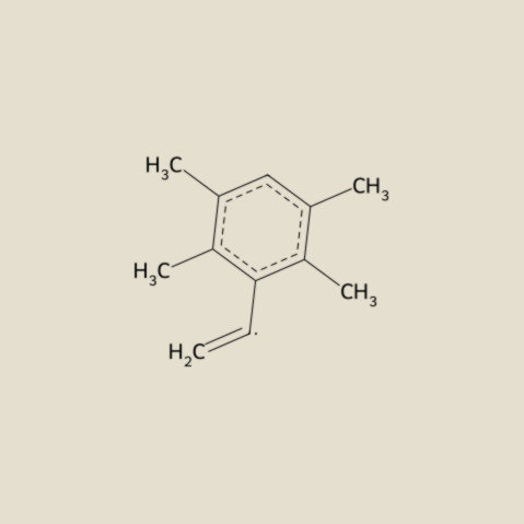 C=[C]c1c(C)c(C)cc(C)c1C